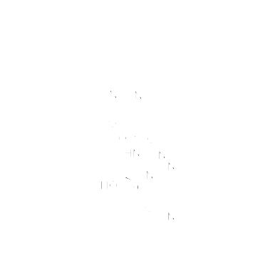 Cc1cnc(C(OC(C)C)C(C)S(=O)(=O)Nc2nnc3n2[C@H](CO)COc2ncccc2-3)nc1